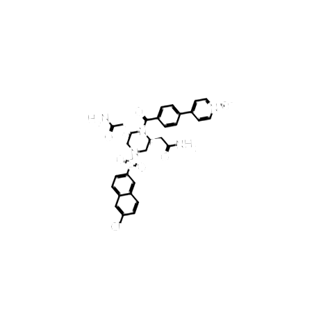 NC(=O)C[C@H]1CN(S(=O)(=O)c2ccc3cc(Cl)ccc3c2)C[C@H](CC(N)=O)N1C(=O)c1ccc(-c2cc[n+]([O-])cc2)cc1